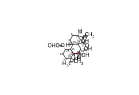 C=C1C(=O)[C@]23[C@H](O)[C@H]1CC[C@H]2[C@@]12CO[C@@]3(O)[C@@H](O)[C@@H]1C(C)(C)CC[C@@H]2OC=O